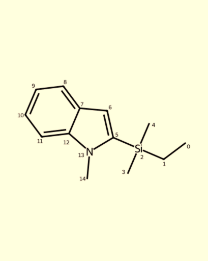 CC[Si](C)(C)c1cc2ccccc2n1C